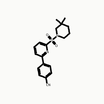 CC1(C)CCCN(S(=O)(=O)c2cccc(-c3ccc(C#N)cc3)n2)C1